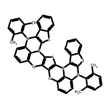 Cc1cccc(C)c1N1c2cccc3c2B(c2sc4c(c2O3)Oc2cccc3c2B4c2sc4ccccc4c2N3c2c(C)cccc2C)c2c1sc1ccccc21